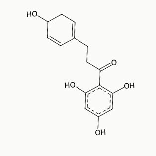 O=C(CCC1=CCC(O)C=C1)c1c(O)cc(O)cc1O